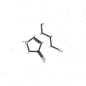 O=C1C=COC1.[Li][CH2]CCC